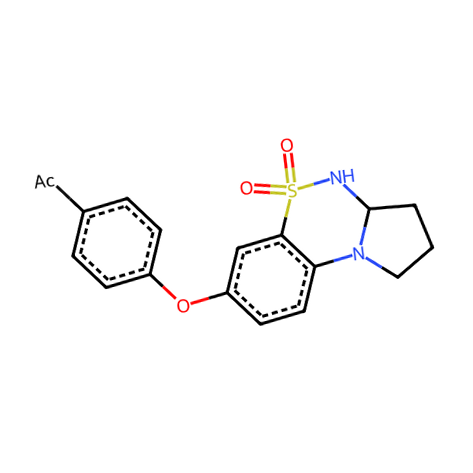 CC(=O)c1ccc(Oc2ccc3c(c2)S(=O)(=O)NC2CCCN32)cc1